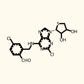 O=Cc1ccc(Cl)cc1CNc1nc(Cl)nc2c1ncn2[C@@H]1SCC(O)C1O